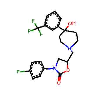 O=C1OC(CN2CCC(O)(c3cccc(C(F)(F)F)c3)CC2)CN1c1ccc(F)cc1